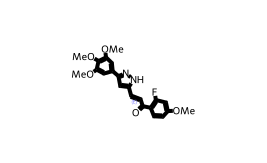 COc1ccc(C(=O)/C=C/c2cc(-c3cc(OC)c(OC)c(OC)c3)n[nH]2)c(F)c1